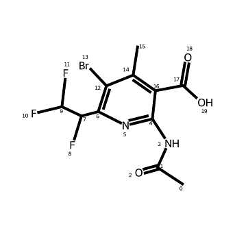 CC(=O)Nc1nc(C(F)C(F)F)c(Br)c(C)c1C(=O)O